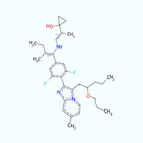 CCCOC(CCC)Cc1c(-c2c(F)cc(/C(N/C=C(\C)C3(O)CC3)=C(\C)CC)cc2F)nc2cc(C)ccn12